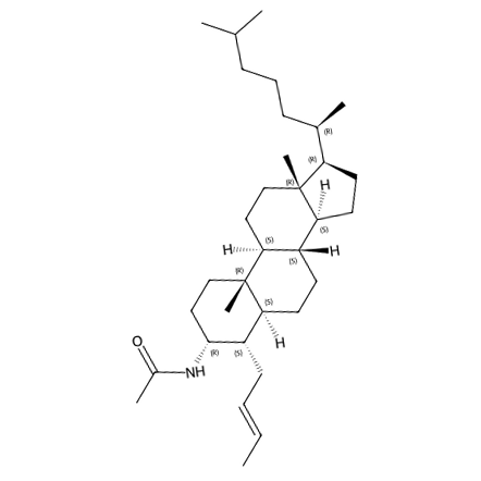 CC=CC[C@@H]1[C@H](NC(C)=O)CC[C@@]2(C)[C@H]1CC[C@@H]1[C@@H]2CC[C@]2(C)[C@@H]([C@H](C)CCCC(C)C)CC[C@@H]12